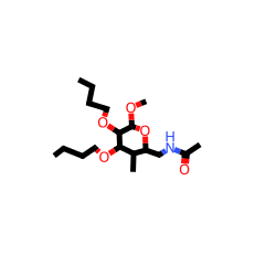 CCCCOC1C(OC)OC(CNC(C)=O)C(C)C1OCCCC